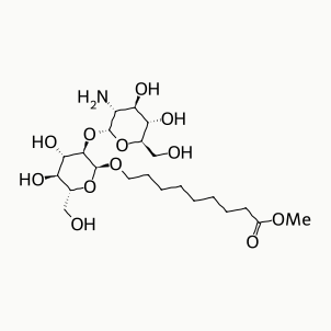 COC(=O)CCCCCCCCO[C@H]1O[C@H](CO)[C@@H](O)[C@H](O)[C@H]1O[C@H]1O[C@H](CO)[C@@H](O)[C@H](O)[C@H]1N